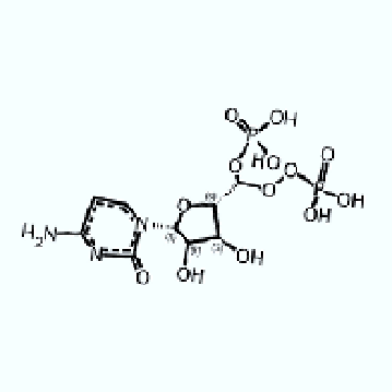 Nc1ccn([C@@H]2O[C@H](C(OOP(=O)(O)O)OP(=O)(O)O)[C@@H](O)[C@H]2O)c(=O)n1